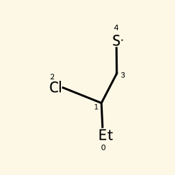 CCC(Cl)C[S]